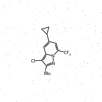 CC(C)(C)c1nn2c(C(F)(F)F)cc(C3CC3)cc2c1Cl